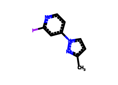 Cc1ccn(-c2ccnc(I)c2)n1